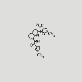 Cc1cc(C)n(-c2ccc3cccc(NC(=O)c4ccc(C)s4)c3n2)n1